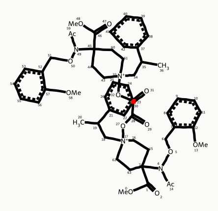 COC(=O)C1(N(OCc2ccccc2OC)C(C)=O)CC[N+](CC(C)c2ccccc2)(OC(=O)C(=O)O[N+]2(CC(C)c3ccccc3)CCC(C(=O)OC)(N(OCc3ccccc3OC)C(C)=O)CC2)CC1